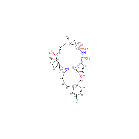 O=C1NS(=O)(=O)[C@@H]2C[C@@H]2C/C=C/[C@H](O)[C@@H]2CC[C@H]2CN2CCCCc3cc(Cl)ccc3COc3ccc1cc32